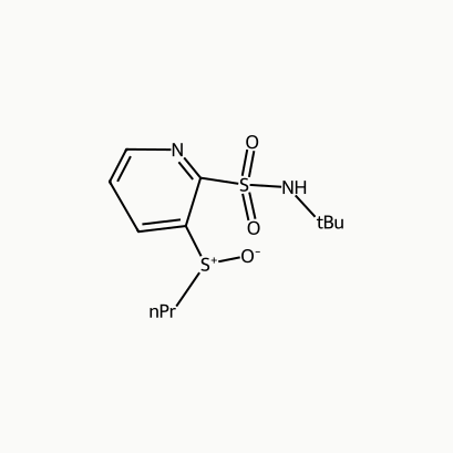 CCC[S+]([O-])c1cccnc1S(=O)(=O)NC(C)(C)C